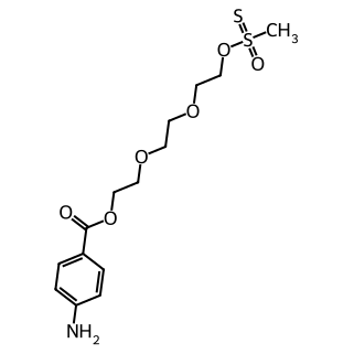 CS(=O)(=S)OCCOCCOCCOC(=O)c1ccc(N)cc1